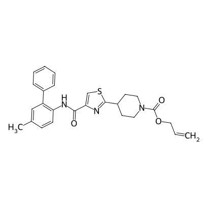 C=CCOC(=O)N1CCC(c2nc(C(=O)Nc3ccc(C)cc3-c3ccccc3)cs2)CC1